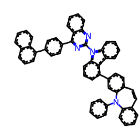 C1=Cc2ccc(-c3cccc4c3c3ccccc3n4-c3nc(-c4ccc(-c5cccc6ccccc56)cc4)c4ccccc4n3)cc2N(c2ccccc2)c2ccccc21